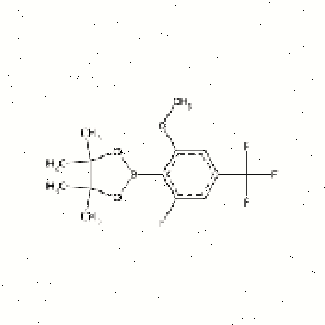 COc1cc(C(F)(F)F)cc(F)c1B1OC(C)(C)C(C)(C)O1